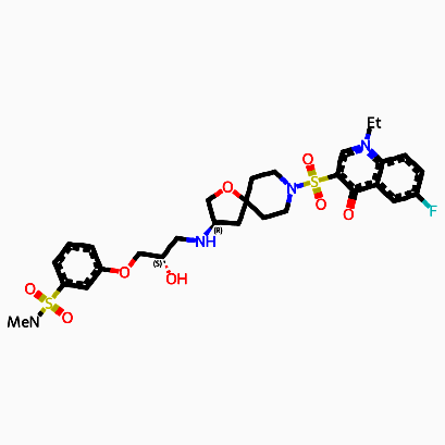 CCn1cc(S(=O)(=O)N2CCC3(CC2)C[C@@H](NC[C@H](O)COc2cccc(S(=O)(=O)NC)c2)CO3)c(=O)c2cc(F)ccc21